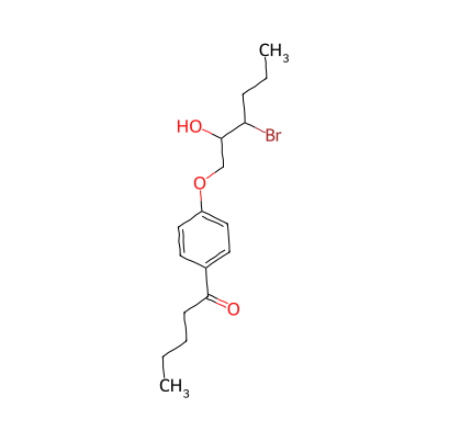 CCCCC(=O)c1ccc(OCC(O)C(Br)CCC)cc1